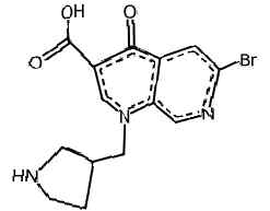 O=C(O)c1cn(CC2CCNC2)c2cnc(Br)cc2c1=O